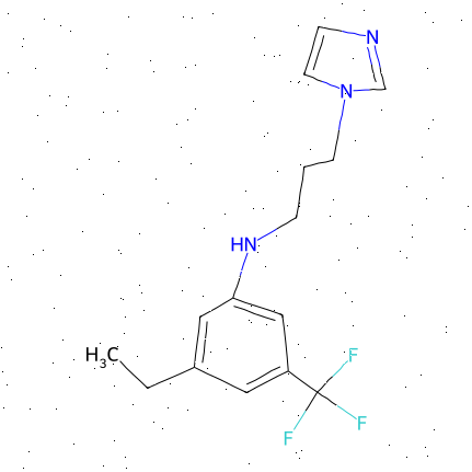 CCc1cc(NCCCn2ccnc2)cc(C(F)(F)F)c1